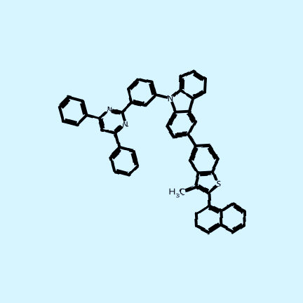 Cc1c(C2=c3ccccc3=CCC2)sc2ccc(-c3ccc4c(c3)c3ccccc3n4-c3cccc(-c4nc(-c5ccccc5)cc(-c5ccccc5)n4)c3)cc12